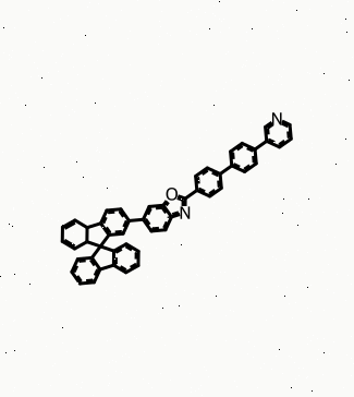 C1=CC2c3ccc(-c4ccc5nc(-c6ccc(-c7ccc(-c8cccnc8)cc7)cc6)oc5c4)cc3C3(c4ccccc4-c4ccccc43)C2C=C1